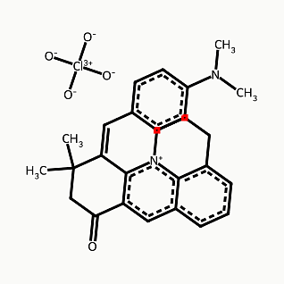 CN(C)c1ccc(/C=C2\c3c(cc4cccc5c4[n+]3CCC5)C(=O)CC2(C)C)cc1.[O-][Cl+3]([O-])([O-])[O-]